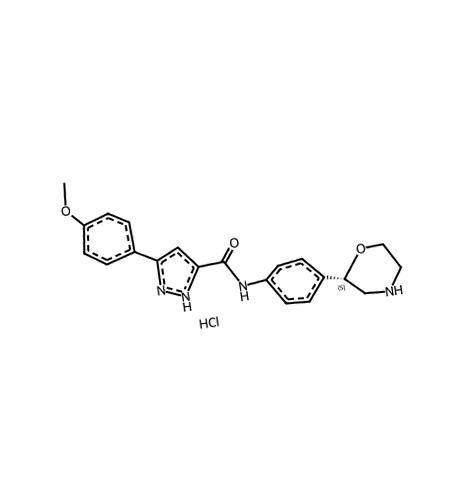 COc1ccc(-c2cc(C(=O)Nc3ccc([C@H]4CNCCO4)cc3)[nH]n2)cc1.Cl